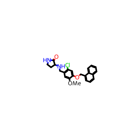 COc1cc(CNC2CCNC2=O)c(Cl)cc1OCc1cccc2ccccc12